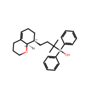 CC(C)(CC[C@@H]1CCC=C2CCCO[C@@H]21)[Si](O)(c1ccccc1)c1ccccc1